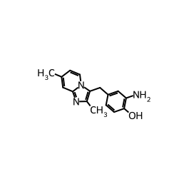 Cc1ccn2c(Cc3ccc(O)c(N)c3)c(C)nc2c1